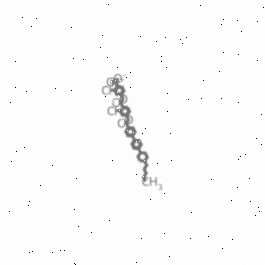 CCCCCC1CCC(c2ccc(-c3ccc(C(=O)Oc4ccc(C(=O)Oc5ccc([N+](=O)[O-])c(Cl)c5)c(Cl)c4)cc3)cc2)CC1